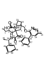 CCCCC(CC1(COc2nnc(C)cc2-c2ccccc2)CCC1)(NC(=O)O)C(=O)C(=O)N[C@H](C)c1ccccc1